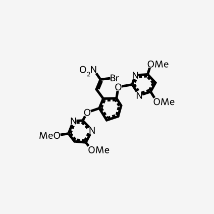 COc1cc(OC)nc(Oc2cccc(Oc3nc(OC)cc(OC)n3)c2C=C(Br)[N+](=O)[O-])n1